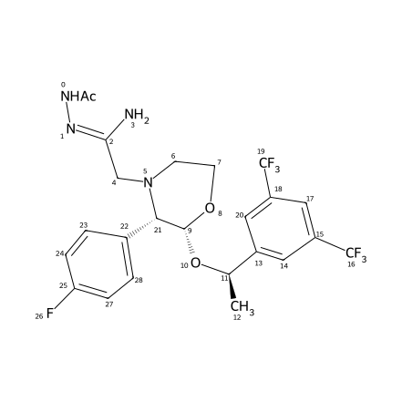 CC(=O)N/N=C(\N)CN1CCO[C@H](O[C@H](C)c2cc(C(F)(F)F)cc(C(F)(F)F)c2)[C@@H]1c1ccc(F)cc1